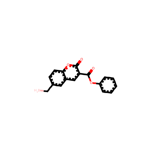 BCc1ccc2oc(=O)c(C(=O)Oc3ccccc3)cc2c1